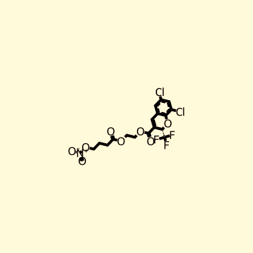 O=C(CCCO[N+](=O)[O-])OCCOC(=O)C1=Cc2cc(Cl)cc(Cl)c2O[C@@H]1C(F)(F)F